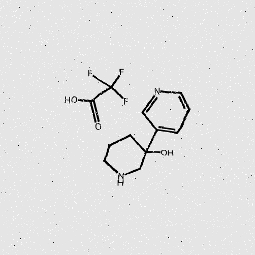 O=C(O)C(F)(F)F.OC1(c2cccnc2)CCCNC1